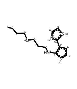 CCCCOCCCNc1sccc1-c1nccs1